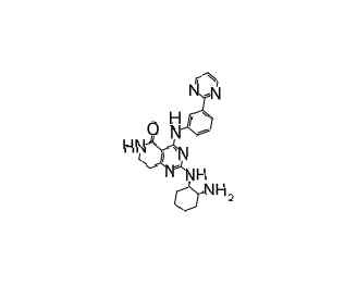 N[C@H]1CCCC[C@H]1Nc1nc2c(c(Nc3cccc(-c4ncccn4)c3)n1)C(=O)NCC2